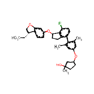 Cc1cc(OC2CCC(C)(O)C2)cc(C)c1-c1ccc(F)c2c1CC[C@H]2Oc1ccc2c(c1)OC[C@H]2CC(=O)O